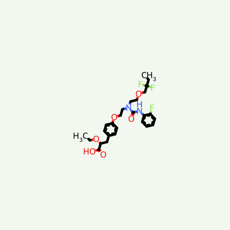 CCOC(Cc1ccc(OCCN(CCOCC(F)(F)CC)C(=O)Nc2ccccc2F)cc1)C(=O)O